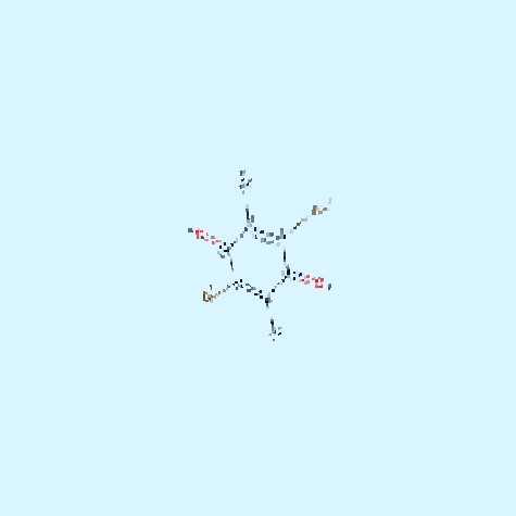 CC(=O)C1=C(Br)C(=O)C(C(C)=O)=C(Br)C1=O